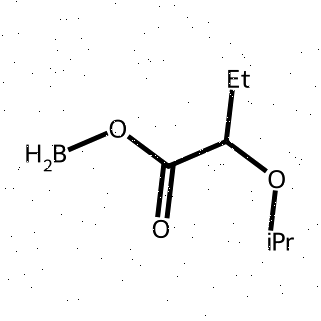 BOC(=O)C(CC)OC(C)C